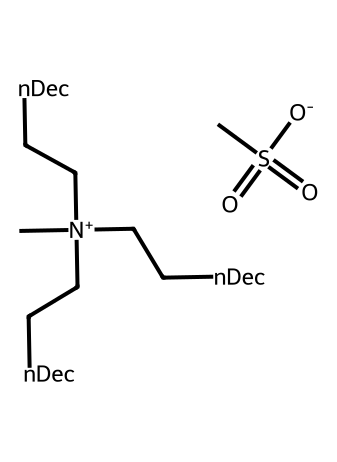 CCCCCCCCCCCC[N+](C)(CCCCCCCCCCCC)CCCCCCCCCCCC.CS(=O)(=O)[O-]